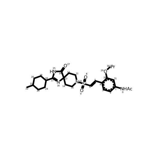 CC(=O)Nc1ccc(C=CS(=O)(=O)N2CCC3(CC2)N=C(C2CCC(C)CC2)NC3=O)c(OC(C)C)c1